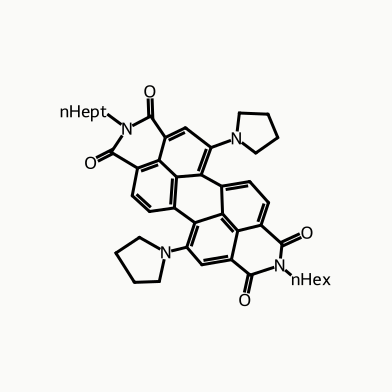 CCCCCCCN1C(=O)c2ccc3c4c(N5CCCC5)cc5c6c(ccc(c7c(N8CCCC8)cc(c2c37)C1=O)c64)C(=O)N(CCCCCC)C5=O